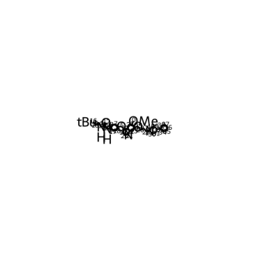 COc1cc2c(Oc3ccc(NC(=O)NCCC(C)(C)C)cc3)ccnc2cc1OCCCN1CCC(c2ccccc2)CC1